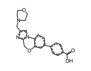 O=C(O)c1ccc(-c2ccc3c(c2)OCc2nc(CN4CCOCC4)cn2-3)cc1